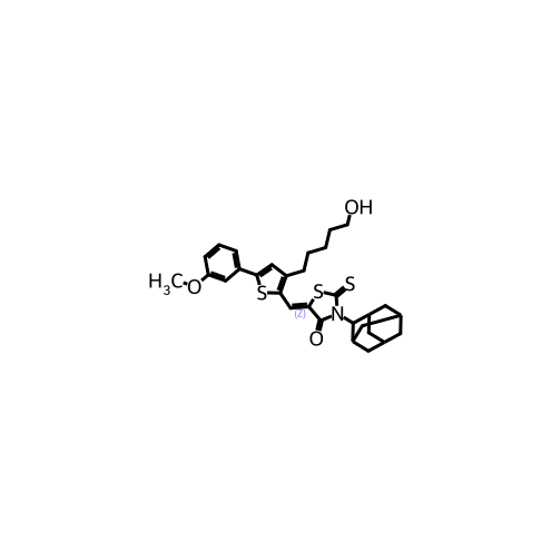 COc1cccc(-c2cc(CCCCCO)c(/C=C3\SC(=S)N(C4C5CC6CC(C5)CC4C6)C3=O)s2)c1